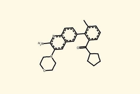 Cc1cccc(C(=O)C2CCCC2)c1-c1ccc2nc(N)c(N3CCOCC3)cc2c1